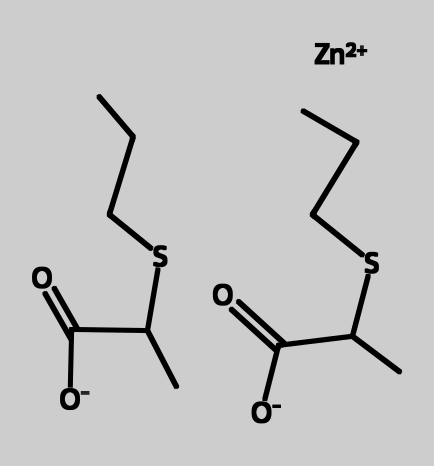 CCCSC(C)C(=O)[O-].CCCSC(C)C(=O)[O-].[Zn+2]